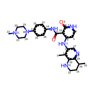 Cc1c(Nc2cc[nH]c(=O)c2C(=O)Nc2ccc(N3CCN(C)CC3)cc2)cnc2c1NCCC2C